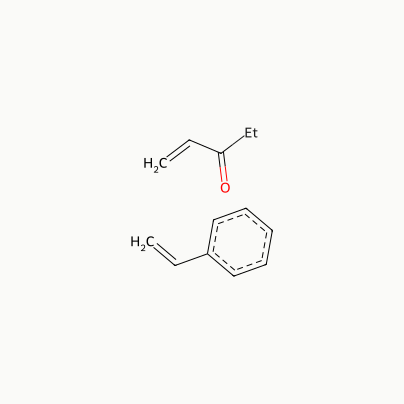 C=CC(=O)CC.C=Cc1ccccc1